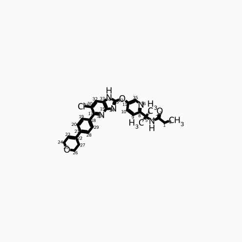 CCC(=O)NC(C)(C)c1ccc(Oc2nc3nc(-c4ccc(C5=CCOCC5)cc4)c(Cl)cc3[nH]2)cn1